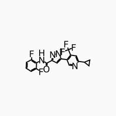 Cn1nc(C(=O)Nc2c(F)cccc2F)cc1-c1cnc(C2CC2)cc1C(F)(F)F